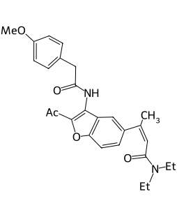 CCN(CC)C(=O)/C=C(/C)c1ccc2oc(C(C)=O)c(NC(=O)Cc3ccc(OC)cc3)c2c1